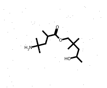 CC(O)CC(C)(C)COC(=O)C(C)CC(C)(C)N